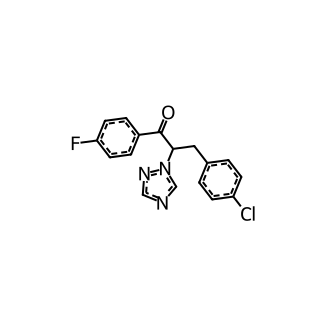 O=C(c1ccc(F)cc1)C(Cc1ccc(Cl)cc1)n1cncn1